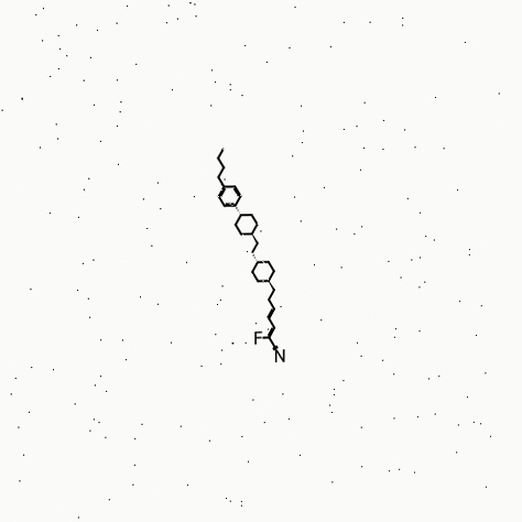 CCCCc1ccc([C@H]2CC[C@H](CC[C@H]3CC[C@H](CCC=CC=C(F)C#N)CC3)CC2)cc1